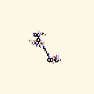 COc1cc(-c2cn(C)c(=O)c3cnccc23)cc(OCC(=O)NCCCCCCCCNc2cccc3c2C(=O)N(C2CCC(=O)NC2=O)C3=O)c1CN(C)C